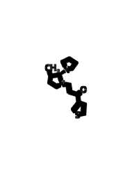 CC1CCN(/C=C/C(=O)c2ccsc2)[C@@H]1N1CCCC1